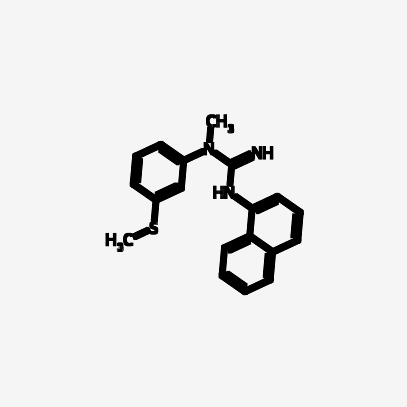 CSc1cccc(N(C)C(=N)Nc2cccc3ccccc23)c1